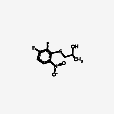 CC(O)CSc1c([N+](=O)[O-])ccc(F)c1F